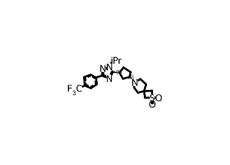 CC(C)n1nc(-c2ccc(C(F)(F)F)cc2)nc1[C@H]1CC[C@H](N2CCC3(CC2)CS(=O)(=O)C3)C1